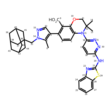 Cc1c(-c2ccc3c(c2C(=O)O)OCC(C)(C)N3c2ccc(Nc3nc4ccccc4s3)nn2)cnn1CC12CC3CC(CC(C3)C1)C2